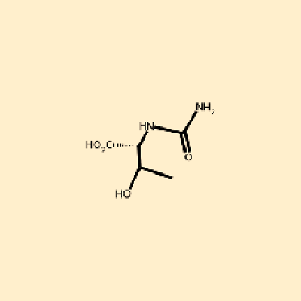 CC(O)[C@@H](NC(N)=O)C(=O)O